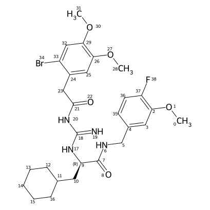 COc1cc(CNC(=O)[C@@H](CC2CCCCC2)NC(=N)NC(=O)Cc2cc(OC)c(OC)cc2Br)ccc1F